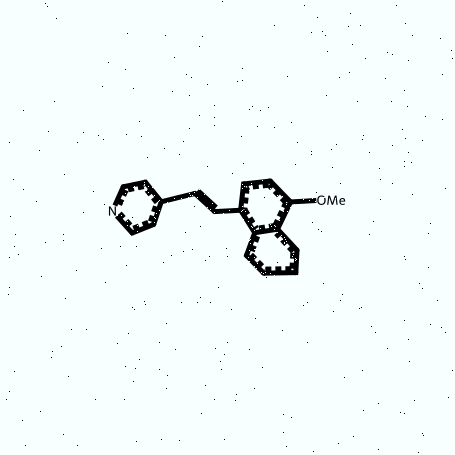 COc1ccc(/C=C/c2ccncc2)c2ccccc12